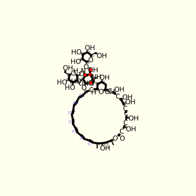 C[C@@H]1[C@H](O)[C@@H](C)/C=C/C=C/C=C/C=C/C=C/C=C/C=C/[C@H](O[C@@H]2O[C@H](C)[C@@H](O)[C@H](N)[C@@H]2O)C[C@@H]2O[C@](O)(C[C@@H](O)C[C@@H](O)[C@H](O)CC[C@@H](O)C[C@@H](O)CC(=O)O[C@H]1C)C[C@H](O)[C@H]2C(=O)NC(CO[C@H]1O[C@H](CO)[C@@H](O)[C@H](O)[C@@H]1O)CO[C@H]1O[C@H](CO)[C@@H](O)[C@H](O)[C@@H]1O